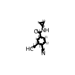 C#Cc1cc(C(=O)NC2CC2)ccc1C#N